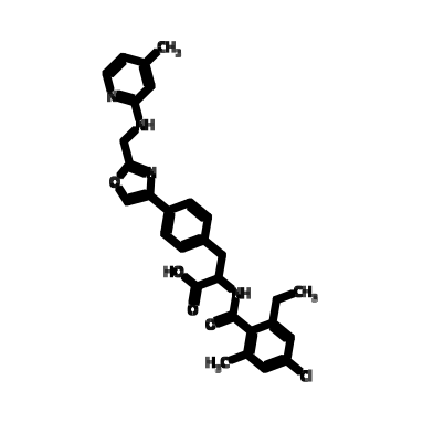 CCc1cc(Cl)cc(C)c1C(=O)NC(Cc1ccc(-c2coc(CNc3cc(C)ccn3)n2)cc1)C(=O)O